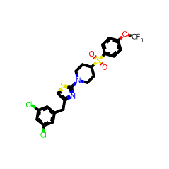 O=S(=O)(c1ccc(OC(F)(F)F)cc1)C1CCN(c2nc(Cc3cc(Cl)cc(Cl)c3)cs2)CC1